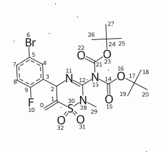 C=C1C(c2cc(Br)ccc2F)N=C(N(C(=O)OC(C)(C)C)C(=O)OC(C)(C)C)N(C)S1(=O)=O